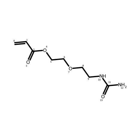 C=CC(=O)OCCOCCNC(N)=O